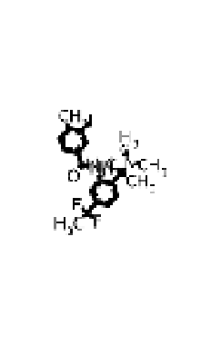 Cc1ccc(C(=O)Nc2cc(C(C)(F)F)ccc2C(C)(C)N(C)C)cc1I